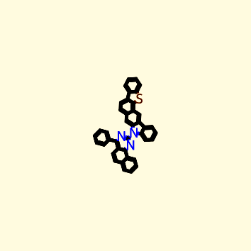 c1ccc(-c2nc(-n3c4ccccc4c4cc5c(ccc6c7ccccc7sc56)cc43)nc3c2ccc2ccccc23)cc1